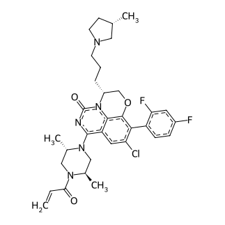 C=CC(=O)N1C[C@H](C)N(c2nc(=O)n3c4c(c(-c5ccc(F)cc5F)c(Cl)cc24)OC[C@H]3CCCN2CC[C@H](C)C2)C[C@H]1C